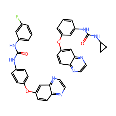 O=C(Nc1ccc(Oc2ccc3nccnc3c2)cc1)Nc1cccc(F)c1.O=C(Nc1cccc(Oc2ccc3nccnc3c2)c1)NC1CC1